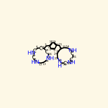 c1cc(CC2CCCNCCNCCCNCC2)ccc1CC1CCCNCCNCCCNCC1